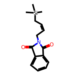 C[Si](C)(C)C/C=C\CN1C(=O)c2ccccc2C1=O